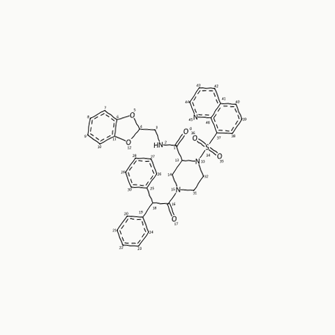 O=C(NCC1Oc2ccccc2O1)C1CN(C(=O)C(c2ccccc2)c2ccccc2)CCN1S(=O)(=O)c1cccc2cccnc12